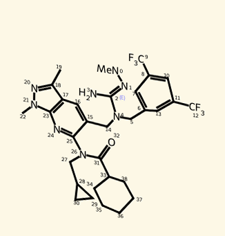 CN/N=C(\N)N(Cc1cc(C(F)(F)F)cc(C(F)(F)F)c1)Cc1cc2c(C)nn(C)c2nc1N(CC1CC1)C(=O)C1CCCCC1